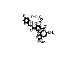 CCOC(=O)OCOc1c2n(cc(C(=O)NCc3ccc(F)cc3F)c1=O)[C@@H]1CN(C2=O)[C@@H](C)CC[C@]12CC(OC)=NO2